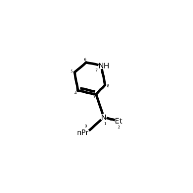 CCCN(CC)C1=CCCNC1